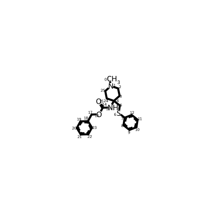 CN1CCC(CSc2ccccc2)(NC(=O)OCc2ccccc2)CC1